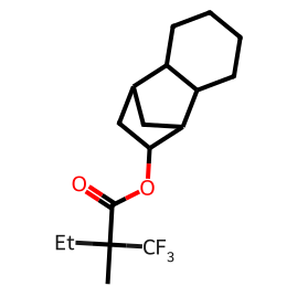 CCC(C)(C(=O)OC1CC2CC1C1CCCCC21)C(F)(F)F